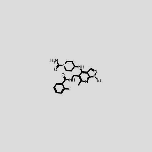 CCn1ncc2c(NC3CCN(C(N)=O)CC3)c(CNC(=O)c3ccccc3F)c(C)nc21